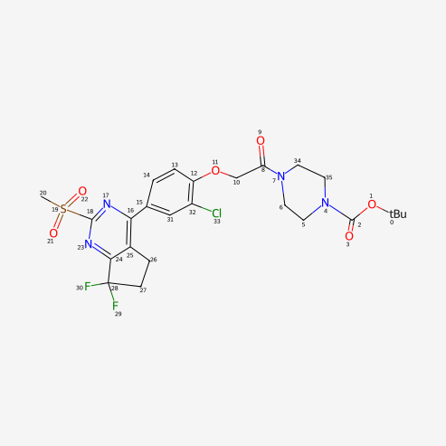 CC(C)(C)OC(=O)N1CCN(C(=O)COc2ccc(-c3nc(S(C)(=O)=O)nc4c3CCC4(F)F)cc2Cl)CC1